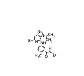 Cc1ccc(Nc2nc(Br)cc3ncn(C(C)C)c23)cc1C(=O)NC1CC1